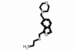 NCCSCc1occ2ccc(CN3CCOCC3)cc12